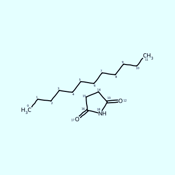 CCCCCCCCCCCC.O=C1CCC(=O)N1